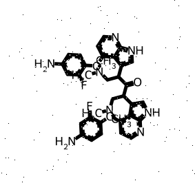 CN(C)CC(C(=O)C(CN(C)C)c1c[nH]c2nccc(Oc3ccc(N)cc3F)c12)c1c[nH]c2nccc(Oc3ccc(N)cc3F)c12